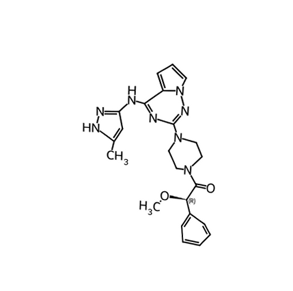 CO[C@@H](C(=O)N1CCN(c2nc(Nc3cc(C)[nH]n3)c3cccn3n2)CC1)c1ccccc1